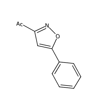 CC(=O)c1cc(-c2ccccc2)on1